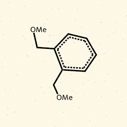 [CH2-][OH+]Cc1ccccc1C[OH+][CH2-]